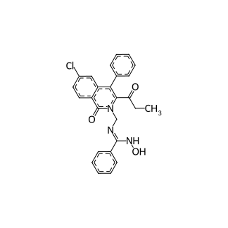 CCC(=O)c1c(-c2ccccc2)c2cc(Cl)ccc2c(=O)n1CN=C(NO)c1ccccc1